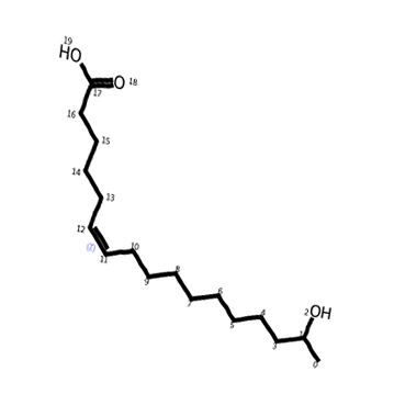 CC(O)CCCCCCCC/C=C\CCCCC(=O)O